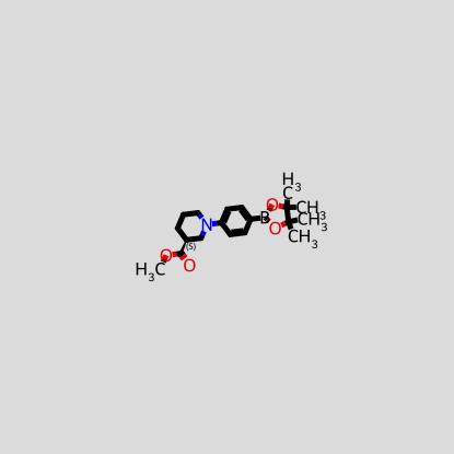 COC(=O)[C@H]1CCCN(c2ccc(B3OC(C)(C)C(C)(C)O3)cc2)C1